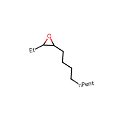 CCCCCCCCCC1OC1CC